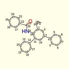 CC(C)c1cc(-c2ccccc2)cc(-c2ccccc2)c1NC(=O)c1ccccc1